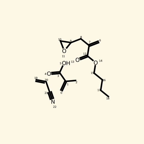 C=C(C)C(=O)O.C=C(CC1CO1)C(=O)OCCCC.C=CC#N